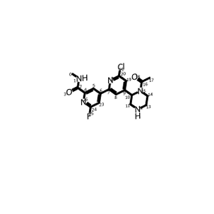 CNC(=O)c1cc(-c2cc(C3CNCCN3C(C)=O)cc(Cl)n2)cc(F)n1